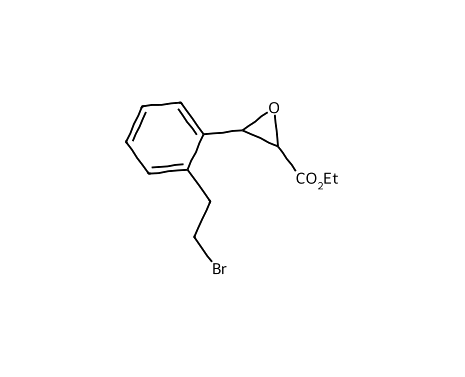 CCOC(=O)C1OC1c1ccccc1CCBr